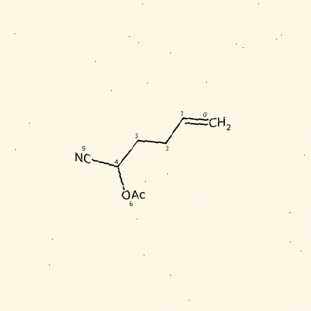 C=CCCC(C#N)OC(C)=O